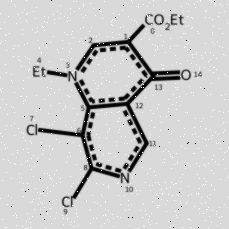 CCOC(=O)c1cn(CC)c2c(Cl)c(Cl)ncc2c1=O